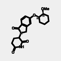 CO[C@H]1CCCC[C@H]1Oc1ccc2c(c1)CN(C1CCC(=O)NC1=O)C2=O